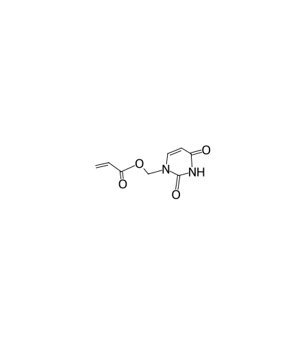 C=CC(=O)OCn1ccc(=O)[nH]c1=O